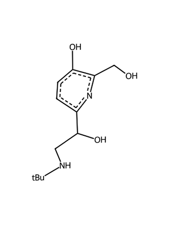 CC(C)(C)NCC(O)c1ccc(O)c(CO)n1